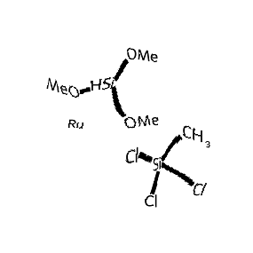 CO[SiH](OC)OC.C[Si](Cl)(Cl)Cl.[Ru]